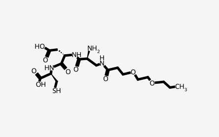 CCCOCCOCCC(=O)NC[C@H](N)C(=O)N[C@@H](CC(=O)O)C(=O)N[C@@H](CS)C(=O)O